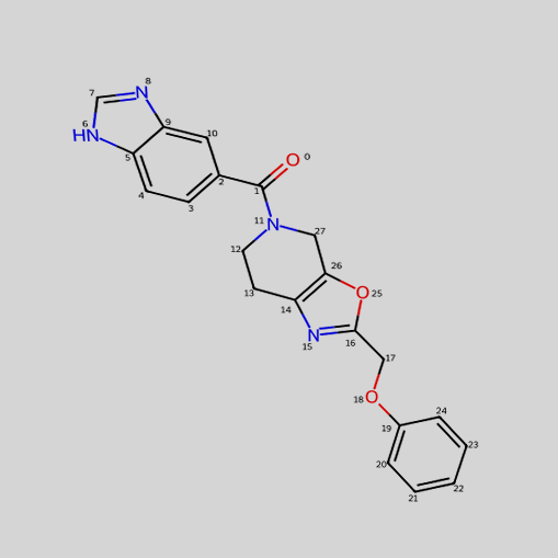 O=C(c1ccc2[nH]cnc2c1)N1CCc2nc(COc3ccccc3)oc2C1